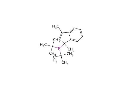 CC1=CC(C)(P(C(C)(C)C)C(C)(C)C)c2ccccc21